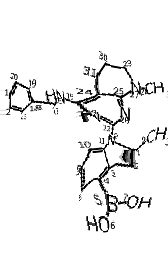 Cc1cc2c(B(O)O)cccc2n1-c1nc(NCc2ccccc2)c2c(n1)N(C)CCC2